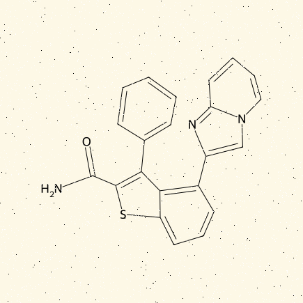 NC(=O)c1sc2cccc(-c3cn4ccccc4n3)c2c1-c1ccccc1